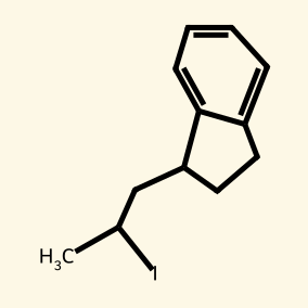 CC(I)CC1CCc2ccccc21